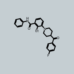 CCc1c(C(=O)Nc2ccccc2)cccc1N1CCC(C(=O)c2ccc(F)cc2)CC1